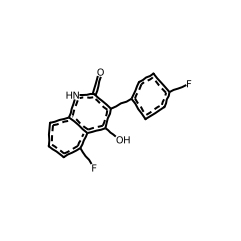 O=c1[nH]c2cccc(F)c2c(O)c1-c1ccc(F)cc1